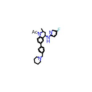 CC(=O)N1c2ccc(-c3ccc(CN4CCCCC4)cc3)cc2C(Nc2ccc(F)cn2)CC1C